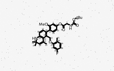 COc1cc(OC(=O)CNC(=O)OC(C)(C)C)ccc1-c1ccc2c(c1COc1cc(F)ccc1C)C(C)=CC(C)(C)N2